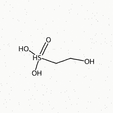 O=[SH](O)(O)CCO